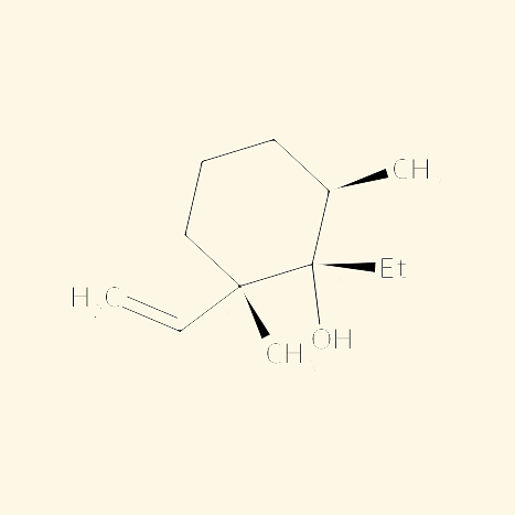 C=C[C@]1(C)CCC[C@@H](C)[C@@]1(O)CC